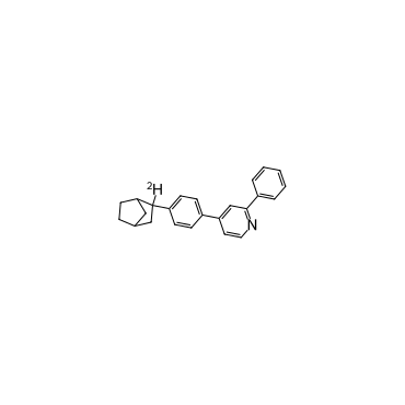 [2H]C1(c2ccc(-c3ccnc(-c4ccccc4)c3)cc2)CC2CCC1C2